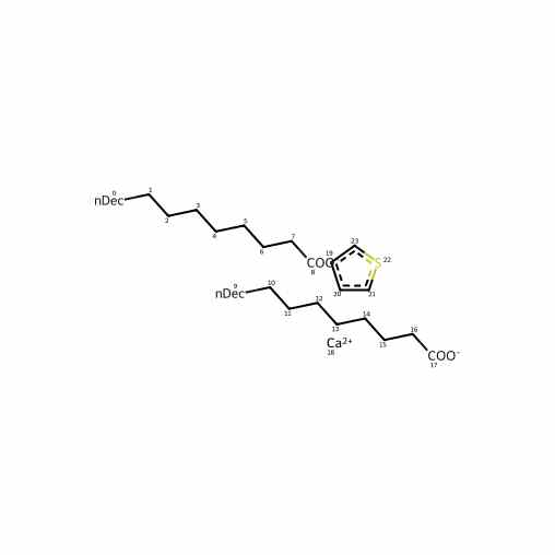 CCCCCCCCCCCCCCCCCC(=O)[O-].CCCCCCCCCCCCCCCCCC(=O)[O-].[Ca+2].c1ccsc1